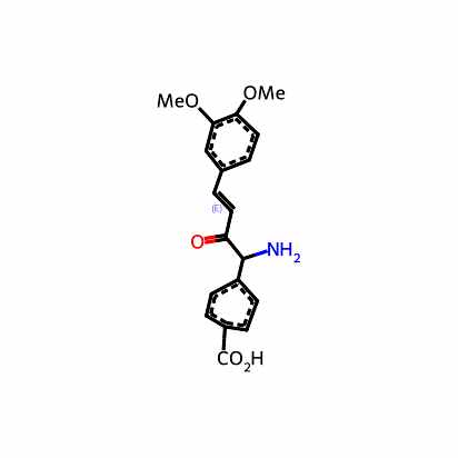 COc1ccc(/C=C/C(=O)C(N)c2ccc(C(=O)O)cc2)cc1OC